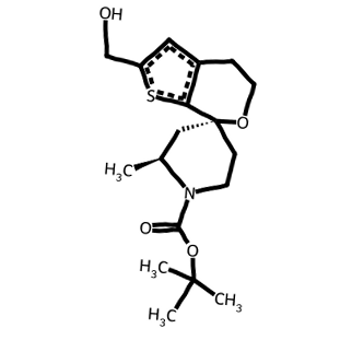 C[C@H]1C[C@@]2(CCN1C(=O)OC(C)(C)C)OCCc1cc(CO)sc12